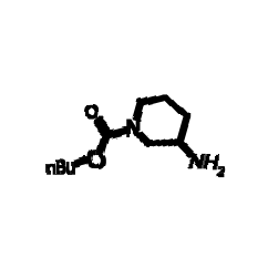 CCCCOC(=O)N1CCCC(N)C1